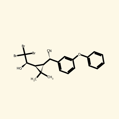 CC1(C)[C@@H]([C@H](C#N)c2cccc(Oc3ccccc3)c2)[C@@H]1[C@@H](O)C(Br)(Br)Br